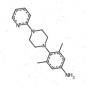 Cc1cc(N)cc(C)c1N1CCN(c2ccccn2)CC1